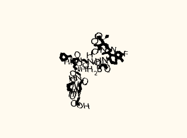 BC(OCNC(=O)CNC(=O)[C@H](Cc1ccccc1)NC(=O)CNC(=O)CNC(=O)C(CNCC(=O)O)N1C(=O)C=CC1=O)C(=O)NC1CCc2c(C)c(F)cc3nc4c(c1c23)Cn1c-4cc2c(c1=O)COC(=O)[C@@H]2CC